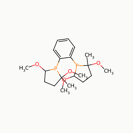 COC1CCC(C)(OC)P1c1ccccc1P1C(OC)CCC1(C)OC